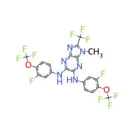 Cn1c(C(F)(F)F)nc2nc(Nc3ccc(OC(F)(F)F)c(F)c3)c(Nc3ccc(OC(F)(F)F)c(F)c3)nc21